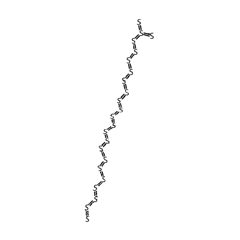 S=S=S=S=S=S=S=S=S=S=S=S=S=S=S=S=S=S=S=S=S(=S)=S